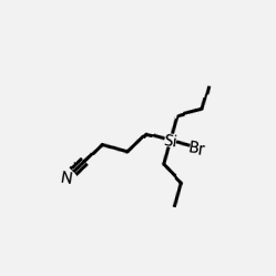 CCC[Si](Br)(CCC)CCCC#N